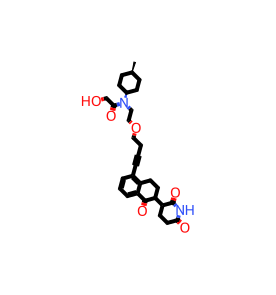 C[C@H]1CC[C@@H](N(CCOCCC#Cc2cccc3c2CCC(C2CCC(=O)NC2=O)C3=O)C(=O)CO)CC1